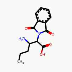 CCCC(N)C(C(=O)O)N1C(=O)c2ccccc2C1=O